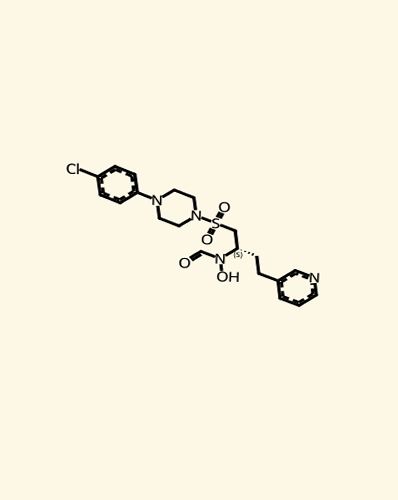 O=CN(O)[C@@H](CCc1cccnc1)CS(=O)(=O)N1CCN(c2ccc(Cl)cc2)CC1